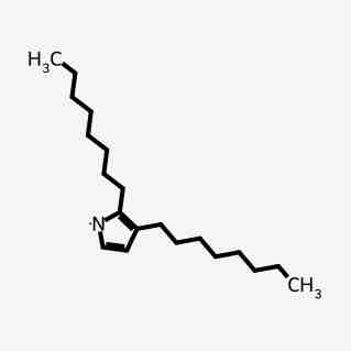 CCCCCCCCC1=C(CCCCCCCC)[N]C=C1